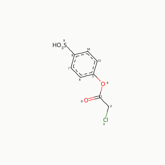 O=C(CCl)Oc1ccc(S(=O)(=O)O)cc1